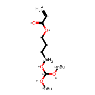 C=CC(=O)OCCC[SiH2]OC(OCCCC)OCCCC